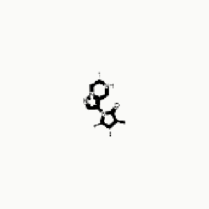 C[C@H]1[C@H](C)C(=O)N(c2cnn3c2CN[C@@H](C)C3)[C@@H]1C